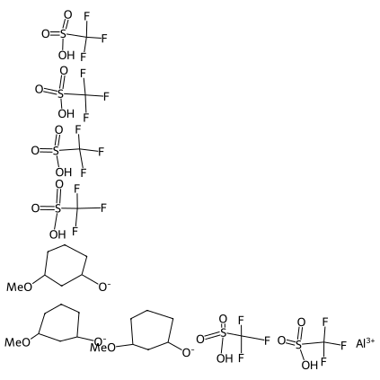 COC1CCCC([O-])C1.COC1CCCC([O-])C1.COC1CCCC([O-])C1.O=S(=O)(O)C(F)(F)F.O=S(=O)(O)C(F)(F)F.O=S(=O)(O)C(F)(F)F.O=S(=O)(O)C(F)(F)F.O=S(=O)(O)C(F)(F)F.O=S(=O)(O)C(F)(F)F.[Al+3]